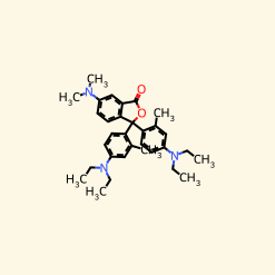 CCN(CC)c1ccc(C2(c3ccc(N(CC)CC)cc3C)OC(=O)c3cc(N(C)C)ccc32)c(C)c1